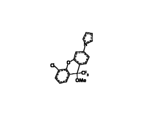 COC1(C(F)(F)F)c2ccc(-n3cccc3)cc2Oc2c(Cl)cccc21